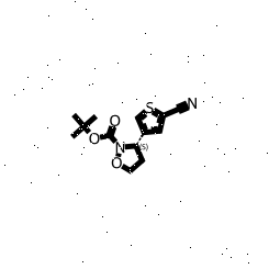 CC(C)(C)OC(=O)N1OCC[C@H]1c1csc(C#N)c1